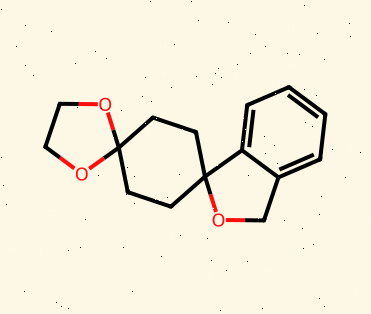 c1ccc2c(c1)COC21CCC2(CC1)OCCO2